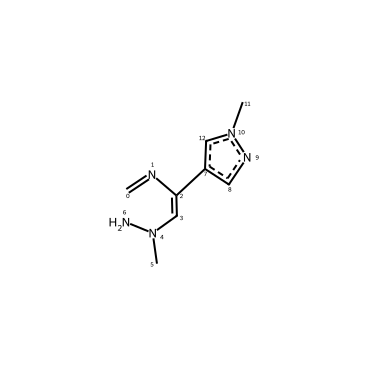 C=N/C(=C\N(C)N)c1cnn(C)c1